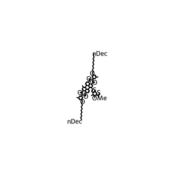 CCCCCCCCCCCCCCCCCCCCOc1cc(C)cc(N2C(=O)c3ccc4c5c(-c6cc7c(C)c(OC)c8c(C)csc8c7s6)cc6c7c(ccc(c8c(C)cc(c3c48)C2=O)c75)C(=O)N(c2cc(C)cc(OCCCCCCCCCCCCCCCCCCCC)c2)C6=O)c1